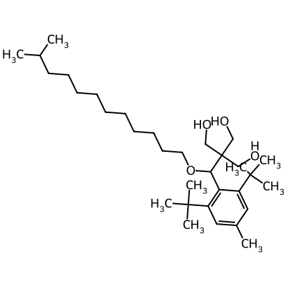 Cc1cc(C(C)(C)C)c(C(OCCCCCCCCCCC(C)C)C(CO)(CO)CO)c(C(C)(C)C)c1